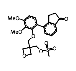 COc1ccc(-c2cccc3c2CCC3=O)c(OCC2(COS(C)(=O)=O)COC2)c1OC